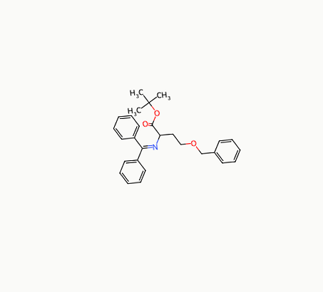 CC(C)(C)OC(=O)C(CCOCc1ccccc1)N=C(c1ccccc1)c1ccccc1